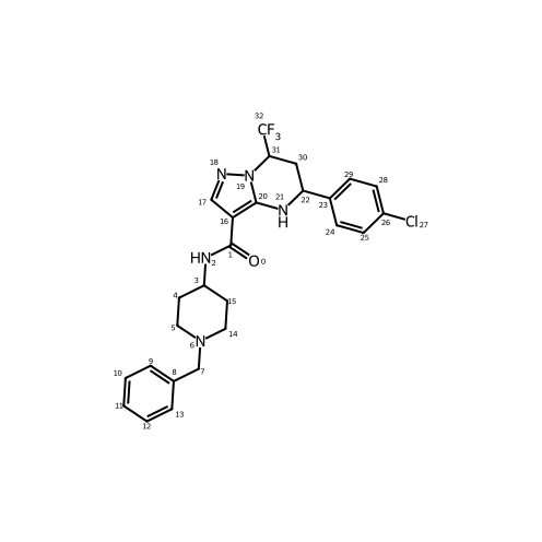 O=C(NC1CCN(Cc2ccccc2)CC1)c1cnn2c1NC(c1ccc(Cl)cc1)CC2C(F)(F)F